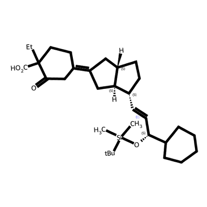 CCC1(C(=O)O)CCC(=C2C[C@@H]3CC[C@H](/C=C/[C@@H](O[Si](C)(C)C(C)(C)C)C4CCCCC4)[C@H]3C2)CC1=O